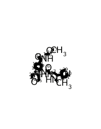 CNC(CNC(=O)Nc1cc(C(=O)NCCOC)ccc1N1CCOCC1)c1ccncc1